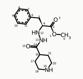 COC(=O)[C@H](Cc1ccccc1)NNC(=O)C1CCNCC1